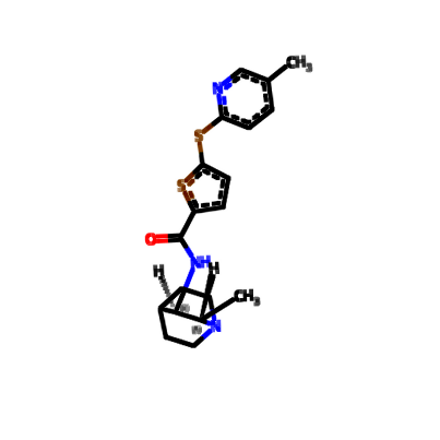 Cc1ccc(Sc2ccc(C(=O)N[C@@H]3C4CCN(CC4)[C@H]3C)s2)nc1